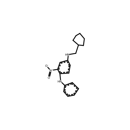 O=[N+]([O-])c1cc(NCC2CCCCC2)ccc1Nc1ccccc1